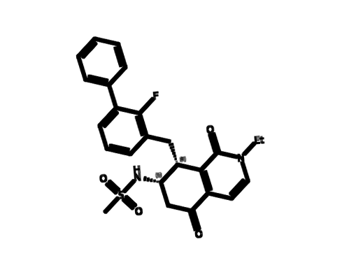 CCn1ccc2c(c1=O)[C@@H](Cc1cccc(-c3ccccc3)c1F)[C@@H](NS(C)(=O)=O)CC2=O